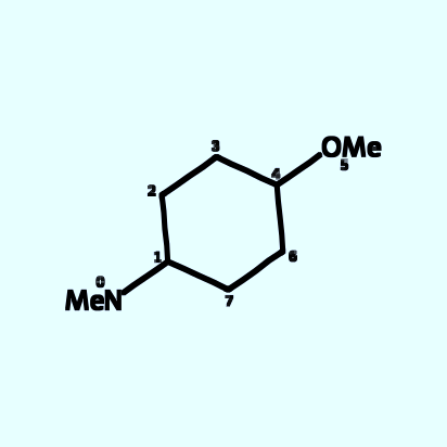 CNC1CCC(OC)CC1